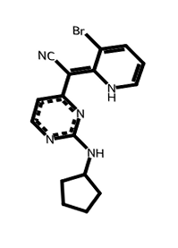 N#CC(=C1NC=CC=C1Br)c1ccnc(NC2CCCC2)n1